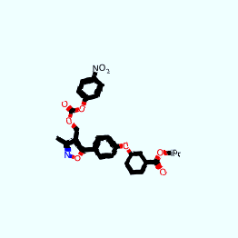 Cc1noc(-c2ccc(OC3CCCC(C(=O)OC(C)C)C3)cc2)c1COC(=O)Oc1ccc([N+](=O)[O-])cc1